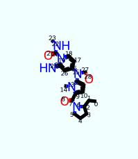 CCC1CCCN1C(=O)c1cc2c(n1C)N(c1ccn(C(=O)NC)c(=N)c1)CO2